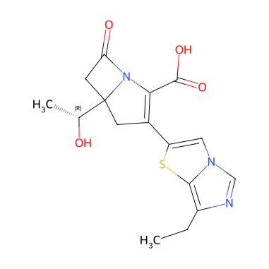 CCc1ncn2cc(C3=C(C(=O)O)N4C(=O)CC4([C@@H](C)O)C3)sc12